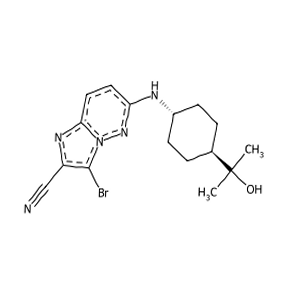 CC(C)(O)[C@H]1CC[C@H](Nc2ccc3nc(C#N)c(Br)n3n2)CC1